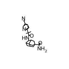 CC(C)(C(=O)NC1C2CC3CC1CC(C(N)=O)(C3)C2)c1ccc(C#N)cn1